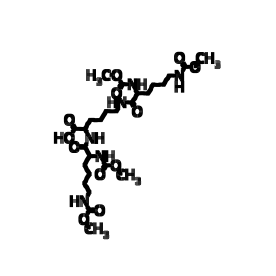 COC(=O)NCCCCC(NC(=O)OC)C(=O)NCCCCC(NC(=O)C(CCCCNC(=O)OC)NC(=O)OC)C(=O)O